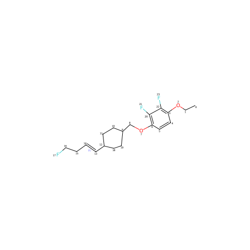 CCOc1ccc(OCC2CCC(/C=C/CCF)CC2)c(F)c1F